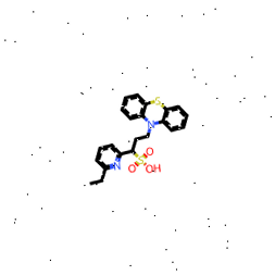 CCc1cccc(C(CCN2c3ccccc3Sc3ccccc32)S(=O)(=O)O)n1